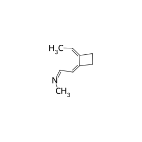 C/C=C1/CC/C1=C/C=N\C